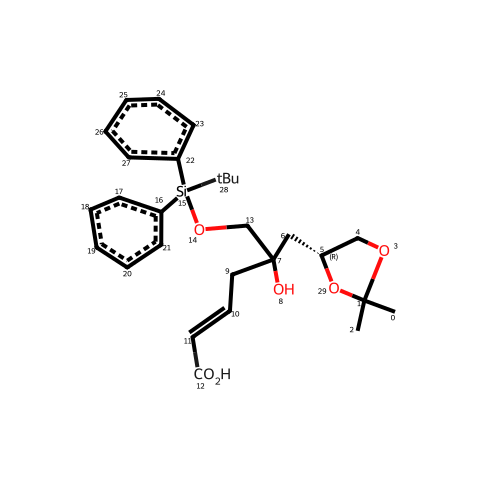 CC1(C)OC[C@@H](CC(O)(CC=CC(=O)O)CO[Si](c2ccccc2)(c2ccccc2)C(C)(C)C)O1